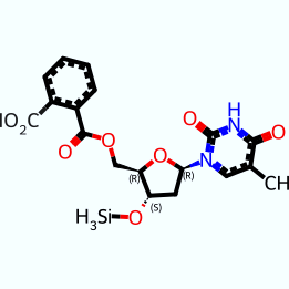 Cc1cn([C@H]2C[C@H](O[SiH3])[C@@H](COC(=O)c3ccccc3C(=O)O)O2)c(=O)[nH]c1=O